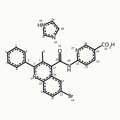 Cc1c(-c2ccccc2)nc2ccc(Br)cc2c1C(=O)Nc1ccc(C(=O)O)cn1.c1c[nH]cn1